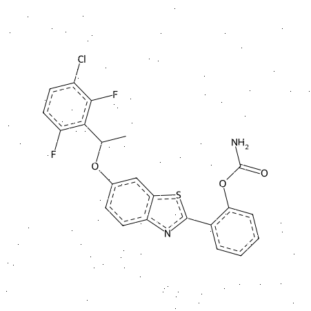 CC(Oc1ccc2nc(-c3ccccc3OC(N)=O)sc2c1)c1c(F)ccc(Cl)c1F